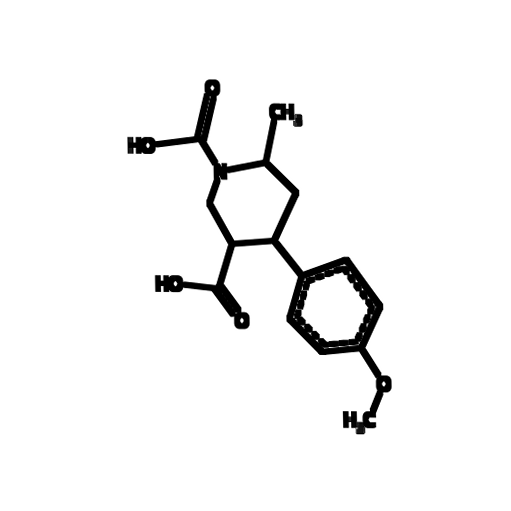 COc1ccc(C2CC(C)N(C(=O)O)CC2C(=O)O)cc1